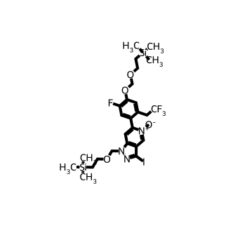 C[Si](C)(C)CCOCOc1cc(CC(F)(F)F)c(-c2cc3c(c[n+]2[O-])c(I)nn3COCC[Si](C)(C)C)cc1F